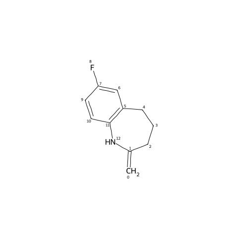 C=C1CCCc2cc(F)ccc2N1